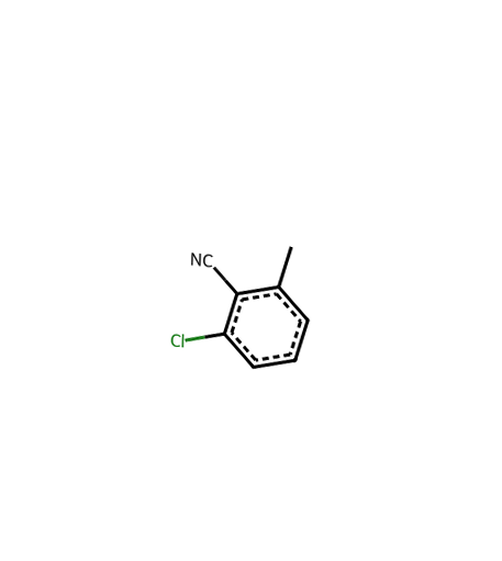 Cc1cccc(Cl)c1C#N